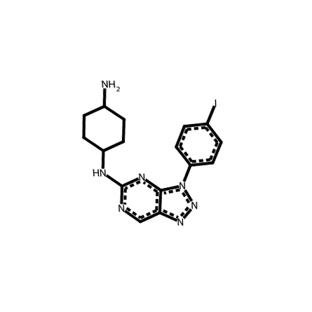 NC1CCC(Nc2ncc3nnn(-c4ccc(I)cc4)c3n2)CC1